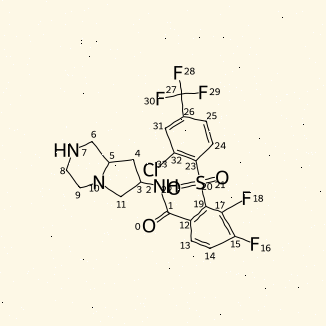 O=C(NC1CC2CNCCN2C1)c1ccc(F)c(F)c1S(=O)(=O)c1ccc(C(F)(F)F)cc1Cl